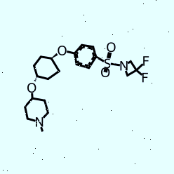 CN1CCC(O[C@H]2CC[C@H](Oc3ccc(S(=O)(=O)N4CC(F)(F)C4)cc3)CC2)CC1